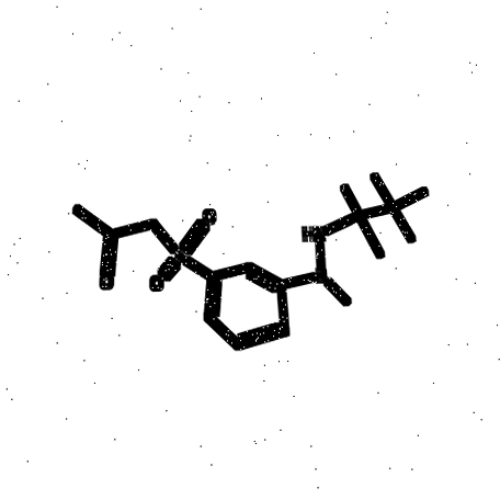 CB(NC(C)(C)C(C)(C)C)c1cccc(S(=O)(=O)CC(C)=O)c1